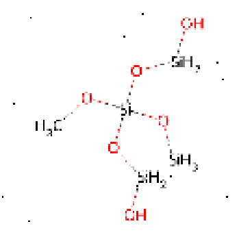 CO[Si](O[SiH3])(O[SiH2]O)O[SiH2]O